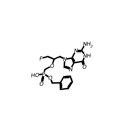 Nc1nc2c(ncn2CC(CF)OCP(=O)(O)OCc2ccccc2)c(=O)[nH]1